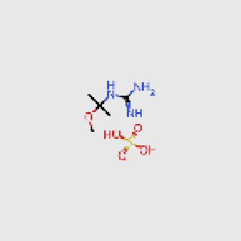 COC(C)(C)NC(=N)N.O=S(=O)(O)O